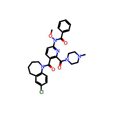 CON(C(=O)c1ccccc1)c1ccc(C(=O)N2CCCCc3cc(Cl)ccc32)c(C(=O)N2CCN(C)CC2)n1